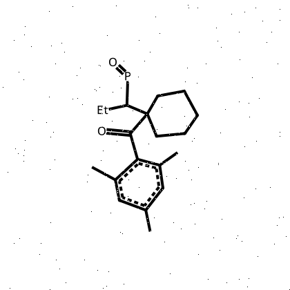 CCC(P=O)C1(C(=O)c2c(C)cc(C)cc2C)CCCCC1